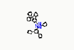 c1ccc(-c2cc(-c3ccccc3)cc(-c3nc(-c4ccccc4)nc(-c4ccc5c(c4)-c4ccccc4C5(c4ccccc4)c4ccccc4)n3)c2)cc1